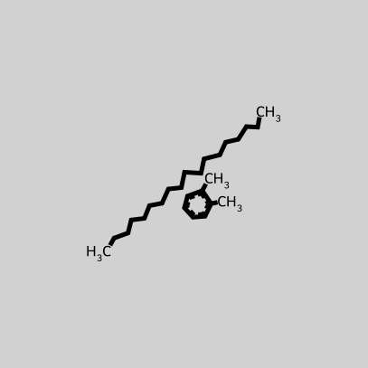 CCCCCCCCCCCCCCCCCC.Cc1ccccc1C